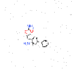 CC(C)(CC1=CC=C(c2ccccc2)CC1(C)N)OC(N)=O